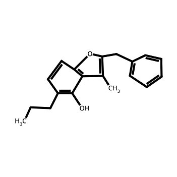 CCCc1ccc2oc(Cc3ccccc3)c(C)c2c1O